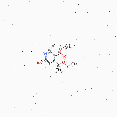 C=C(OCC)c1cc(Br)nc(F)c1C(=O)OC